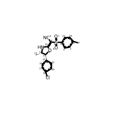 Cc1ccc(S(=O)(=O)/C(C#N)=C2/N[C@@H](C)[C@@H](c3ccc(Cl)cc3)O2)cc1